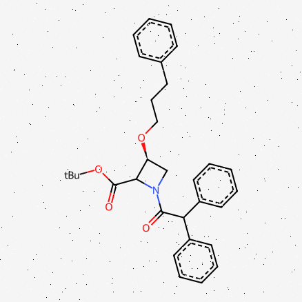 CC(C)(C)OC(=O)C1[C@@H](OCCCc2ccccc2)CN1C(=O)C(c1ccccc1)c1ccccc1